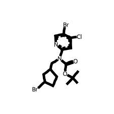 CC(C)(C)OC(=O)N(CC1CCC(Br)C1)c1cc(Cl)c(Br)cn1